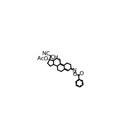 CC(=O)O[C@@]1(CC#N)CCC2C3CCC4=CC(=NOC(=O)c5ccccc5)CCC4=C3CC[C@@]21C